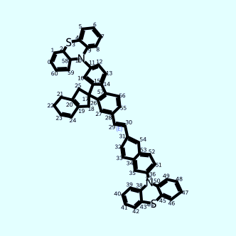 C1=CC2Sc3ccccc3N(c3ccc4c(c3)C3(CC5=C(CCC=C5)C3)c3cc(/C=C/c5ccc6cc(N7c8ccccc8Sc8ccccc87)ccc6c5)ccc3-4)C2C=C1